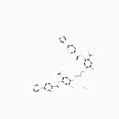 O=C(Nc1cc(OCCCOc2cc(C(=O)[O-])c(NC(=O)c3ccc(-n4ccnc4)nn3)cc2F)c(F)cc1C(=O)[O-])c1ccc(-n2ccnc2)nn1.[Li+].[Li+]